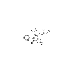 O=CN(O)C[C@@H](CC1CCCC1)C(=O)N1CC2(CC2)CC1C(=O)Nc1ccncn1